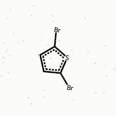 Brc1[c]cc(Br)s1